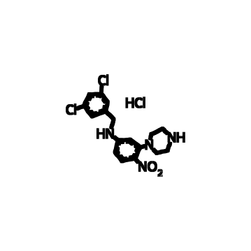 Cl.O=[N+]([O-])c1ccc(NCc2cc(Cl)cc(Cl)c2)cc1N1CCNCC1